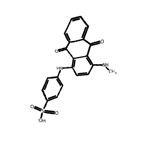 CNc1ccc(Nc2ccc(S(=O)(=O)O)cc2)c2c1C(=O)c1ccccc1C2=O